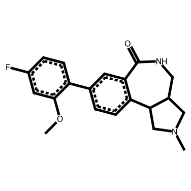 COc1cc(F)ccc1-c1ccc2c(c1)C(=O)NCC1CN(C)CC21